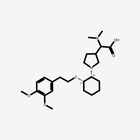 COc1ccc(CCO[C@H]2CCCC[C@H]2N2CCC(C(C(=O)O)N(C)C)C2)cc1OC